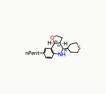 CCCCCc1ccc2c(c1)[C@H]1OCC[C@H]1[C@@H](C1CCSCC1)N2